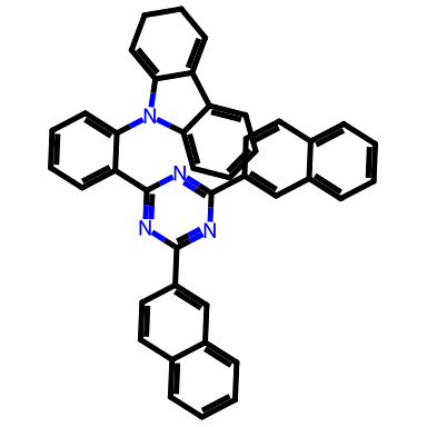 C1=c2c(n(-c3ccccc3-c3nc(-c4ccc5ccccc5c4)nc(-c4ccc5ccccc5c4)n3)c3ccccc23)=CCC1